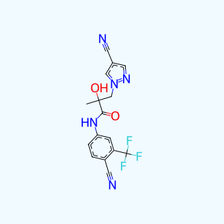 CC(O)(Cn1cc(C#N)cn1)C(=O)Nc1ccc(C#N)c(C(F)(F)F)c1